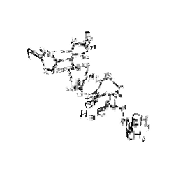 CN(C)CCN(C)c1ccccc(CN2CCN(C(c3ccc(F)cc3)c3ccc(F)cc3)CC2)c1=O